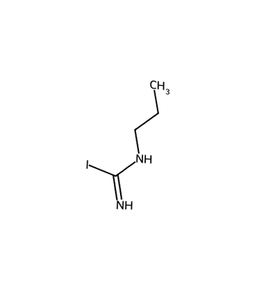 CCCNC(=N)I